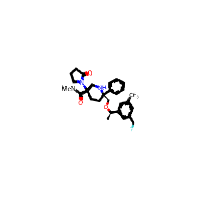 CNC(=O)C1(N2CCCC2=O)CC[C@@](CO[C@H](C)c2cc(CF)cc(C(F)(F)F)c2)(c2ccccc2)NC1